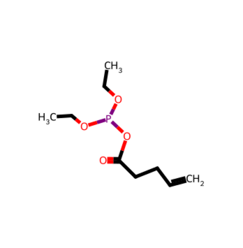 C=CCCC(=O)OP(OCC)OCC